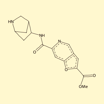 COC(=O)c1cc2cnc(C(=O)NC3CC4CC3CN4)cc2o1